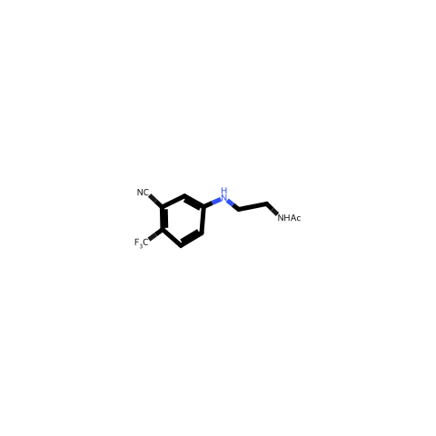 CC(=O)NCCNc1ccc(C(F)(F)F)c(C#N)c1